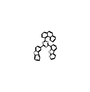 c1ccc2c(c1)ccc1cccc(-c3nc(-c4ccc5sc6ccccc6c5c4)nc(-c4cccc5c4oc4ncccc45)n3)c12